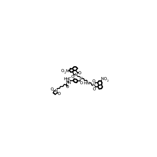 C/C(=N\NC(=O)CCCCCN1C(=O)C=CC1=O)c1ccc(C(=O)N(CCCNCCN2C(=O)c3cccc4cc([N+](=O)[O-])cc(c34)C2=O)CCN2C(=O)c3cccc4cc([N+](=O)[O-])cc(c34)C2=O)cc1